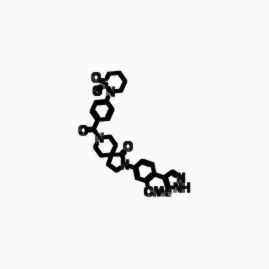 COc1cc(N2CCC3(CCN(C(=O)c4ccc(N5CCCCS5(=O)=O)cc4)CC3)C2=O)ccc1-c1cn[nH]c1